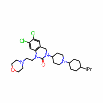 CC(C)C1CCC(N2CCC(N3Cc4cc(Cl)c(Cl)cc4N(CCN4CCOCC4)C3=O)CC2)CC1